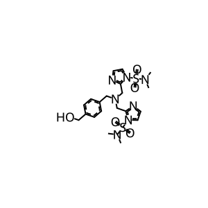 CN(C)S(=O)(=O)n1ccnc1CN(Cc1ccc(CO)cc1)Cc1nccn1S(=O)(=O)N(C)C